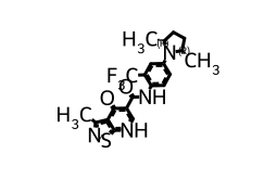 Cc1nsc2[nH]cc(C(=O)Nc3ccc(N4[C@H](C)CC[C@H]4C)cc3C(F)(F)F)c(=O)c12